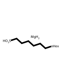 CCCCCCCCCCCCS(=O)(=O)O.[MgH2]